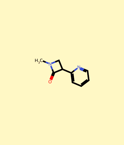 CN1CC(c2ccccn2)C1=O